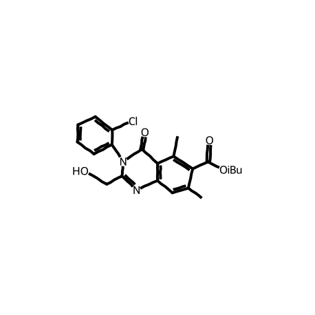 Cc1cc2nc(CO)n(-c3ccccc3Cl)c(=O)c2c(C)c1C(=O)OCC(C)C